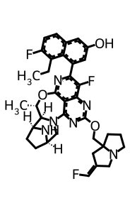 CCc1c(F)ccc2cc(O)cc(-c3nc4c5c(nc(OCC67CCCN6C/C(=C/F)C7)nc5c3F)N3C[C@H]5CC[C@H](N5)[C@H]3[C@H](C)O4)c12